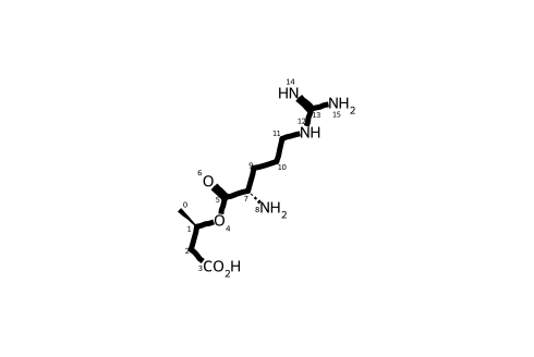 C[C@H](CC(=O)O)OC(=O)[C@@H](N)CCCNC(=N)N